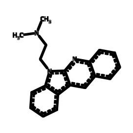 CN(C)CCn1c2ccccc2c2cc3ccccc3nc21